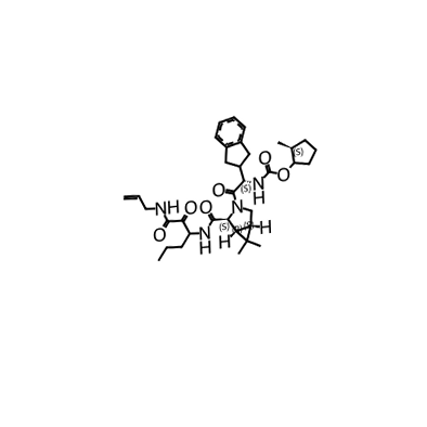 C=CCNC(=O)C(=O)C(CCC)NC(=O)[C@@H]1[C@@H]2[C@H](CN1C(=O)[C@@H](NC(=O)OC1CCC[C@@H]1C)C1Cc3ccccc3C1)C2(C)C